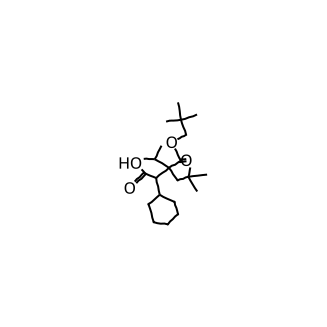 CC(C)C(CC(C)(C)C)(C(=O)OCC(C)(C)C)C(C(=O)O)C1CCCCC1